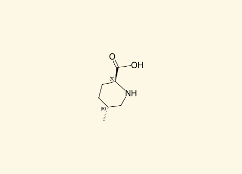 C[C@@H]1CC[C@@H](C(=O)O)NC1